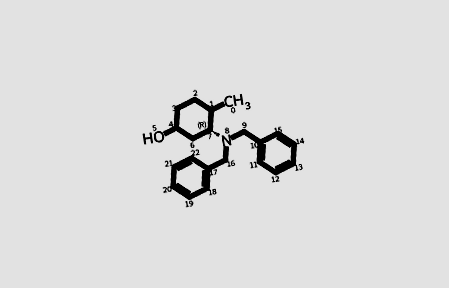 CC1CCC(O)C[C@H]1N(Cc1ccccc1)Cc1ccccc1